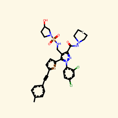 Cc1ccc(C#Cc2ccc(-c3c(CNS(=O)(=O)N4CCC(O)C4)c(C(=O)NN4CCCCC4)nn3-c3ccc(Cl)cc3Cl)s2)cc1